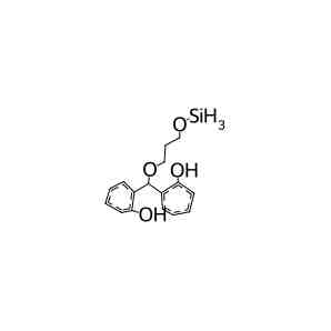 Oc1ccccc1C(OCCCO[SiH3])c1ccccc1O